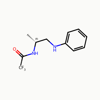 C[C@H](CNc1ccccc1)NC(=O)C(F)(F)F